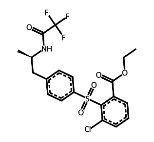 CCOC(=O)c1cccc(Cl)c1S(=O)(=O)c1ccc(C[C@@H](C)NC(=O)C(F)(F)F)cc1